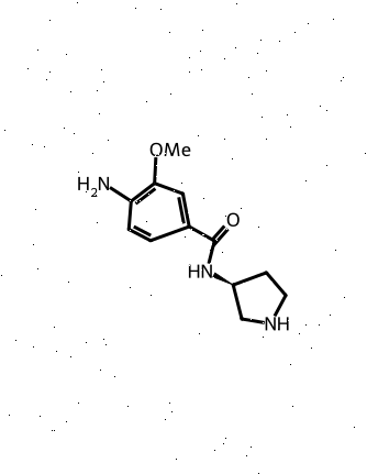 COc1cc(C(=O)N[C@H]2CCNC2)ccc1N